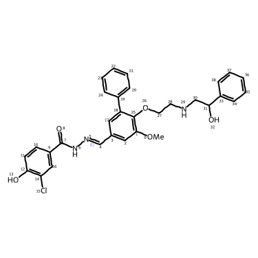 COc1cc(/C=N/NC(=O)c2ccc(O)c(Cl)c2)cc(-c2ccccc2)c1OCCNCC(O)c1ccccc1